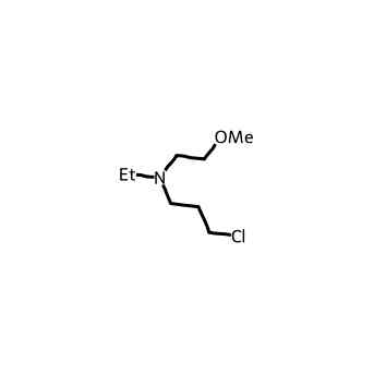 CCN(CCCCl)CCOC